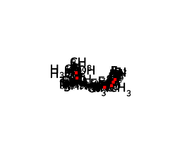 Cc1cc(C(C(=O)N2C[C@H](O)C[C@H]2C(=O)N[C@@H](CC(=O)NCCCOc2ccc(-c3ncc(N4C(=S)N(c5ccc(C#N)c(C(F)(F)F)c5F)C(=O)C4(C)C)cc3F)cc2F)c2ccc(-c3scnc3C)cc2)C(C)C)on1